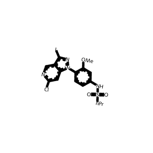 CCCS(=O)(=O)Nc1ccc(-n2nc(I)c3cnc(Cl)cc32)c(OC)c1